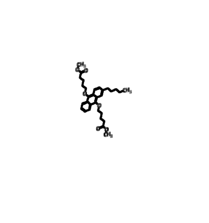 CCCCCc1ccc2c(OCCCCC(=O)OC)c3ccccc3c(OCCCCC(=O)OC)c2c1